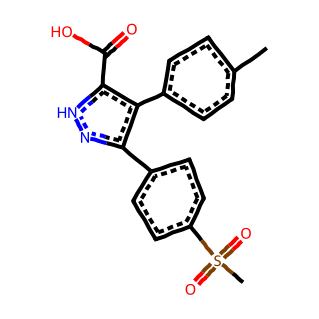 Cc1ccc(-c2c(-c3ccc(S(C)(=O)=O)cc3)n[nH]c2C(=O)O)cc1